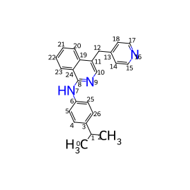 CC(C)c1ccc(Nc2ncc(Cc3ccncc3)c3ccccc23)cc1